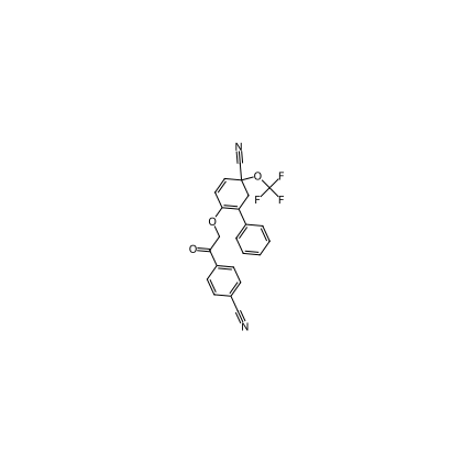 N#Cc1ccc(C(=O)COC2=C(c3ccccc3)CC(C#N)(OC(F)(F)F)C=C2)cc1